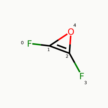 FC1=C(F)O1